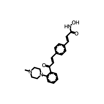 CN1CCN(c2ccccc2C(=O)/C=C/c2ccc(/C=C/C(=O)NO)cc2)CC1